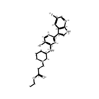 CCOC(=O)CCN1CCC[C@@H](Nc2nc(-c3c[nH]c4ncc(F)cc34)ncc2F)C1